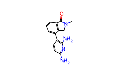 CN1Cc2c(cccc2-c2ccc(N)nc2N)C1=O